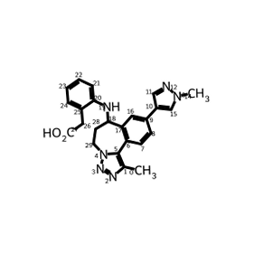 Cc1nnn2c1-c1ccc(-c3cnn(C)c3)cc1C(Nc1ccccc1CC(=O)O)CC2